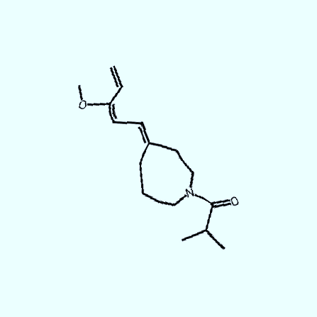 C=C/C(=C\C=C1/CCCN(C(=O)C(C)C)CC1)OC